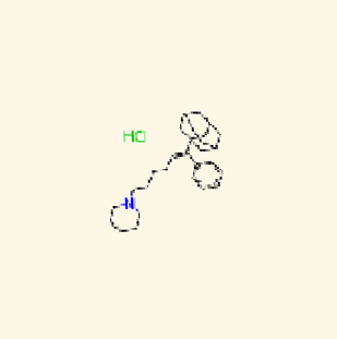 C(CCCCN1CCCCC1)=C(c1ccccc1)C12CC3CC(CC(C3)C1)C2.Cl